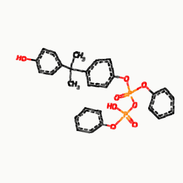 CC(C)(c1ccc(O)cc1)c1ccc(OP(=O)(Oc2ccccc2)OP(=O)(O)Oc2ccccc2)cc1